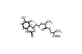 COC(C)CCC(=O)N(C)CCCC1OC(=O)Nc2ccc(Cl)c(F)c21